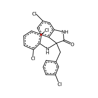 O=C1Nc2cc(Cl)ccc2C1(Cc1cccc(Cl)c1)Nc1c(Cl)cccc1Cl